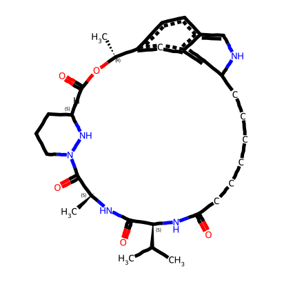 CC(C)[C@@H]1NC(=O)CCCCCCC2C=c3cc(ccc3=CN2)[C@@H](C)OC(=O)[C@@H]2CCCN(N2)C(=O)[C@H](C)NC1=O